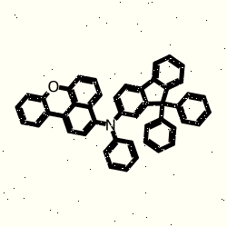 c1ccc(N(c2ccc3c(c2)C(c2ccccc2)(c2ccccc2)c2ccccc2-3)c2ccc3c4c(cccc24)Oc2ccccc2-3)cc1